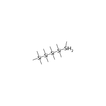 C[SiH2][Si](C)(C)[Si](C)(C)[Si](C)(C)[Si](C)(C)C